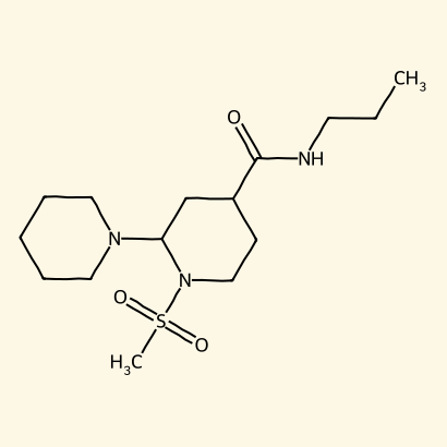 CCCNC(=O)C1CCN(S(C)(=O)=O)C(N2CCCCC2)C1